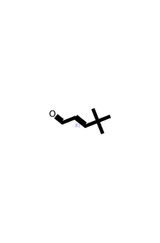 CC(C)(C)/C=C/C=O